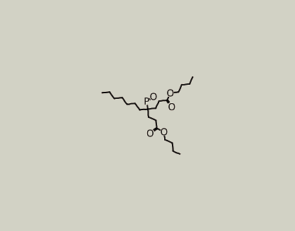 CCCCCCCC(CCC(=O)OCCCC)(CCC(=O)OCCCC)P=O